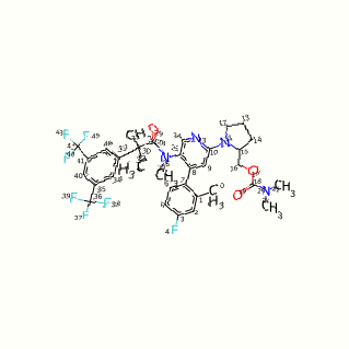 Cc1cc(F)ccc1-c1cc(N2CCCC2COC(=O)N(C)C)ncc1N(C)C(=O)C(C)(C)c1cc(C(F)(F)F)cc(C(F)(F)F)c1